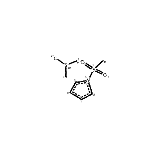 CS(=O)(=O)n1cccc1.C[S+](C)[O-]